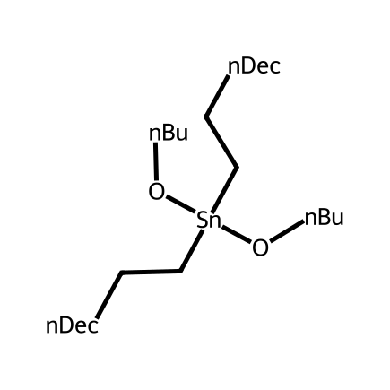 CCCCCCCCCCC[CH2][Sn]([CH2]CCCCCCCCCCC)([O]CCCC)[O]CCCC